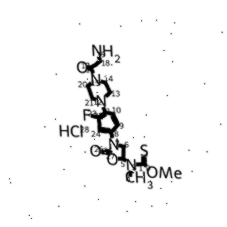 COC(=S)N(C)C1CN(c2ccc(N3CCN(C(=O)CN)CC3)c(F)c2)C(=O)O1.Cl